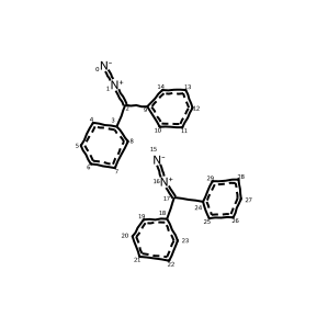 [N-]=[N+]=C(c1ccccc1)c1ccccc1.[N-]=[N+]=C(c1ccccc1)c1ccccc1